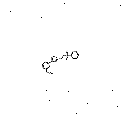 COc1cccc(-c2csc(/C=N/S(=O)(=O)c3ccc(C)cc3)c2)c1